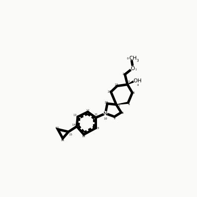 COC[C@]1(O)CC[C@]2(CCN(c3ccc(C4CC4)cc3)C2)CC1